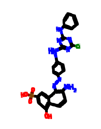 Nc1ccc2c(O)cc(S(=O)(=O)O)cc2c1N=Nc1ccc(Nc2nc(Cl)nc(Nc3ccccc3)n2)cc1